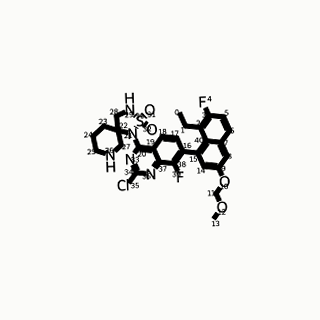 CCc1c(F)ccc2cc(OCOC)cc(-c3ccc4c(N5C6(CCCNC6)CNS5(=O)=O)nc(Cl)nc4c3F)c12